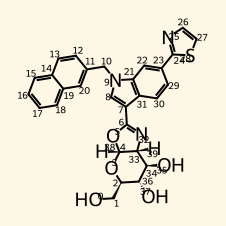 OC[C@H]1O[C@@H]2OC(c3cn(Cc4ccc5ccccc5c4)c4cc(-c5nccs5)ccc34)=N[C@@H]2[C@@H](O)[C@@H]1O